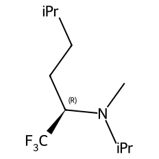 CC(C)CC[C@@H](N(C)C(C)C)C(F)(F)F